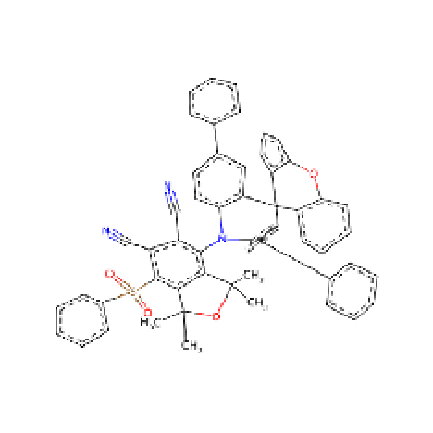 CC1(C)OC(C)(C)c2c1c(N1c3ccc(-c4ccccc4)cc3C3(c4ccccc4Oc4ccccc43)c3cc(-c4ccccc4)ccc31)c(C#N)c(C#N)c2S(=O)(=O)c1ccccc1